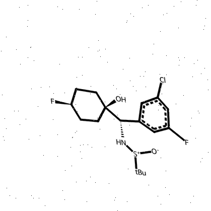 CC(C)(C)[S+]([O-])N[C@@H](c1cc(F)cc(Cl)c1)[C@]1(O)CC[C@@H](F)CC1